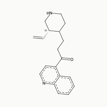 C=C[C@@H]1CNCCC1CCC(=O)c1ccnc2ccccc12